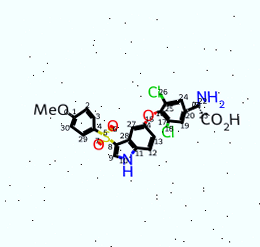 COc1ccc(S(=O)(=O)c2c[nH]c3ccc(Oc4c(Cl)cc([C@H](N)C(=O)O)cc4Cl)cc23)cc1